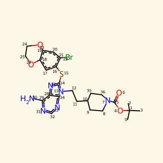 CC(C)(C)OC(=O)N1CCC(CCn2c(Sc3cc4c(cc3Br)OCCO4)nc3c(N)ncnc32)CC1